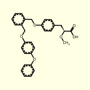 CO[C@@H](Cc1ccc(OCc2ccccc2COc2ccc(Oc3ccccc3)cc2)cc1)C(=O)O